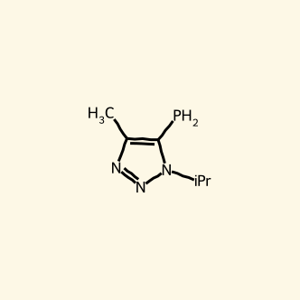 Cc1nnn(C(C)C)c1P